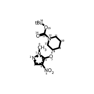 Cn1ncc([N+](=O)[O-])c1O[C@H]1CCCN(C(=O)OC(C)(C)C)C1